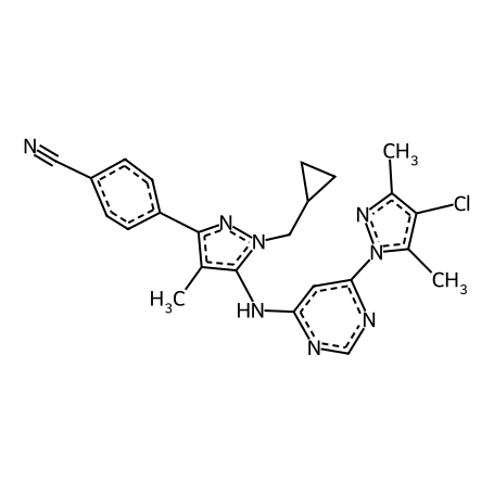 Cc1nn(-c2cc(Nc3c(C)c(-c4ccc(C#N)cc4)nn3CC3CC3)ncn2)c(C)c1Cl